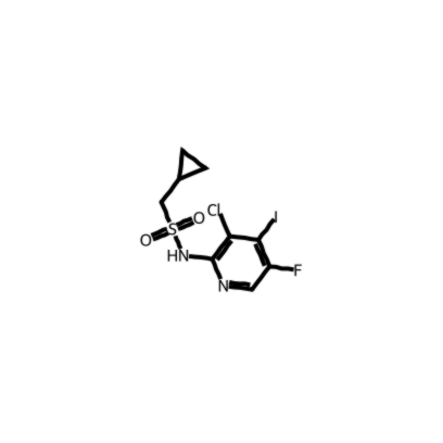 O=S(=O)(CC1CC1)Nc1ncc(F)c(I)c1Cl